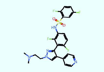 CN(C)CCn1cc(-c2ccncc2)c(-c2c(F)ccc(NS(=O)(=O)c3cc(F)ccc3F)c2F)n1